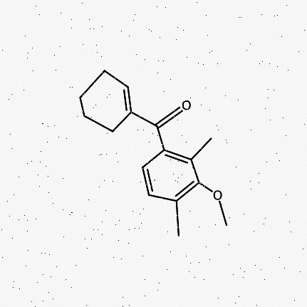 COc1c(C)ccc(C(=O)C2=CCCCC2)c1C